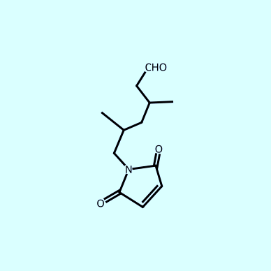 CC(CC=O)CC(C)CN1C(=O)C=CC1=O